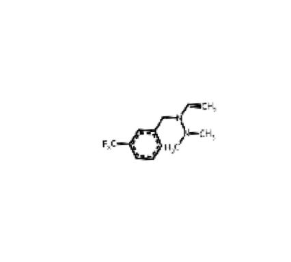 C=CN(Cc1cccc(C(F)(F)F)c1)N(C)C